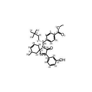 COC(=O)c1ccc([C@@H](CCC(C)(C)C)N2C(=O)C(c3cccc(O)c3)=NC23CC=CC(C)C3)cc1